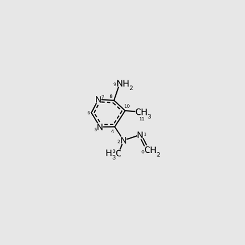 C=NN(C)c1ncnc(N)c1C